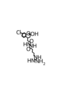 N=C(N)NCCCCC(=O)NNC(=O)CC(CC(=O)O)c1ccc(Cl)cc1